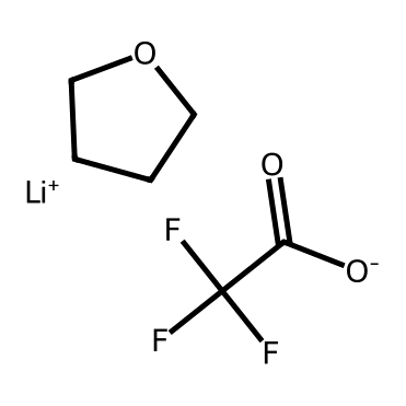 C1CCOC1.O=C([O-])C(F)(F)F.[Li+]